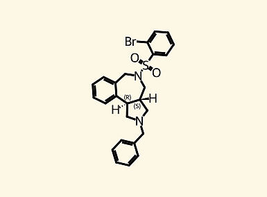 O=S(=O)(c1ccccc1Br)N1Cc2ccccc2[C@@H]2CN(Cc3ccccc3)C[C@H]2C1